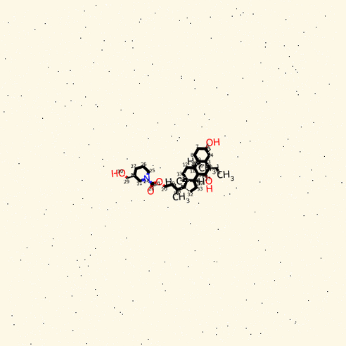 CC[C@@H]1C2C[C@H](O)CCC2(C)[C@H]2CCC3(C)[C@@H]([C@H](C)CCOC(=O)N4CCC[C@H](CO)C4)CC[C@H]3C2[C@@H]1O